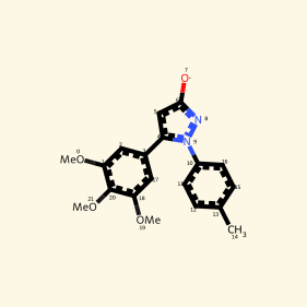 COc1cc(-c2cc([O])nn2-c2ccc(C)cc2)cc(OC)c1OC